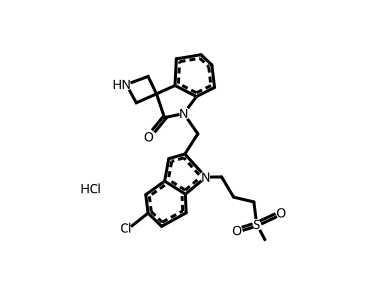 CS(=O)(=O)CCCn1c(CN2C(=O)C3(CNC3)c3ccccc32)cc2cc(Cl)ccc21.Cl